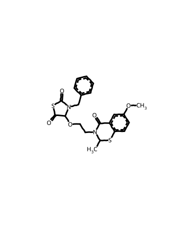 COc1ccc2c(c1)C(=O)N(CCOC1C(=O)SC(=O)N1Cc1ccccc1)C(C)S2